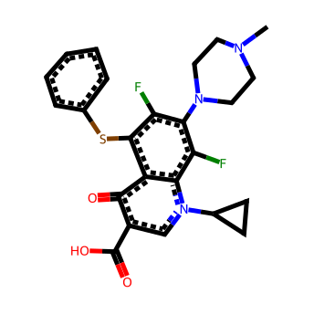 CN1CCN(c2c(F)c(Sc3ccccc3)c3c(=O)c(C(=O)O)cn(C4CC4)c3c2F)CC1